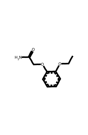 CCOc1ccccc1OCC(N)=O